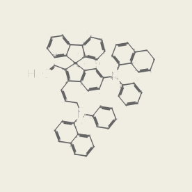 C=CC1=C(/C=C\CN(c2ccccc2)c2cccc3ccccc23)c2ccc(N(c3ccccc3)c3cccc4c3C=CCC4)cc2C12c1ccccc1-c1ccccc12